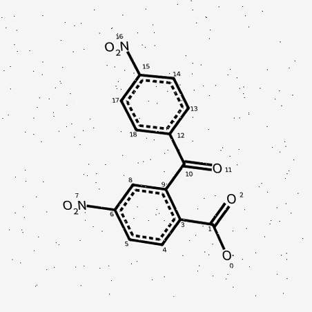 [O]C(=O)c1ccc([N+](=O)[O-])cc1C(=O)c1ccc([N+](=O)[O-])cc1